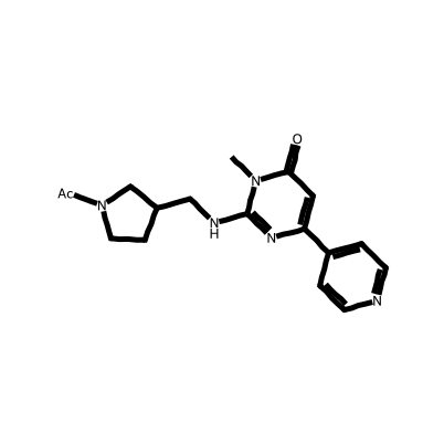 CC(=O)N1CCC(CNc2nc(-c3ccncc3)cc(=O)n2C)C1